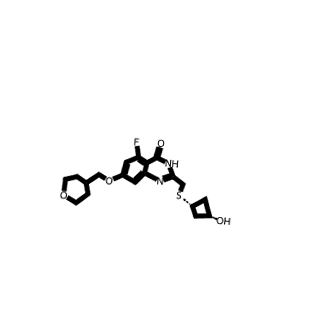 O=c1[nH]c(CS[C@H]2C[C@@H](O)C2)nc2cc(OCC3CCOCC3)cc(F)c12